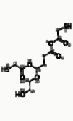 O=C(CS)OC(=O)CCC(OCCO)OC(=O)CS